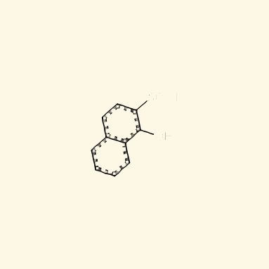 O=S(=O)(O)c1ccc2ccccc2c1O